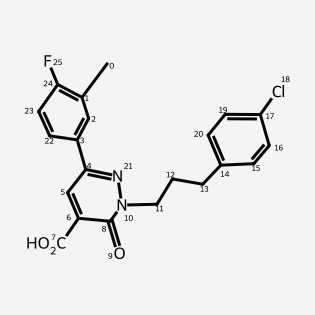 Cc1cc(-c2cc(C(=O)O)c(=O)n(CCCc3ccc(Cl)cc3)n2)ccc1F